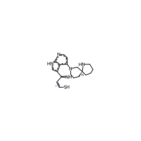 N=C(/C=C\S)c1c[nH]c2nccc(N3CCC[C@@]4(CCCCN4)C3)c12